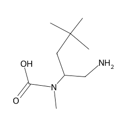 CN(C(=O)O)C(CN)CC(C)(C)C